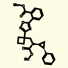 CC(C)(C)OC(=O)c1ccccc1-c1nc(C2(CN(C(=O)OC(C)(C)C)[C@H]3C[C@@H]3c3ccccc3)CCC2)no1